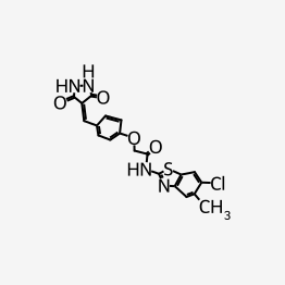 Cc1cc2nc(NC(=O)COc3ccc(C=C4C(=O)NNC4=O)cc3)sc2cc1Cl